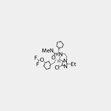 CCc1nc(Cl)c2n1CCN([C@@H](C(=O)NC)c1ccccc1)[C@H]2CCc1cccc(OC(F)F)c1